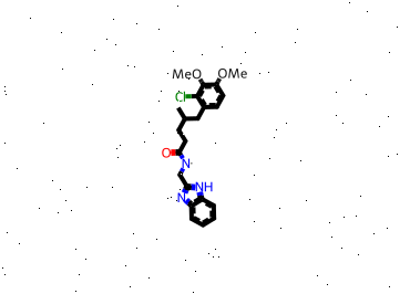 COc1ccc(CC(C)CCC(=O)[N]Cc2nc3ccccc3[nH]2)c(Cl)c1OC